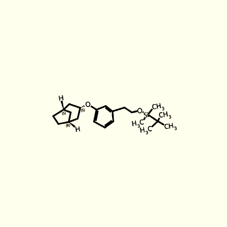 CC(C)(C)[Si](C)(C)OCCc1cccc(O[C@@H]2C[C@@H]3CC[C@@H](C3)C2)c1